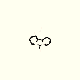 CC1[n+]2ccccc2-c2cccc[n+]21.O.[Br-].[Br-]